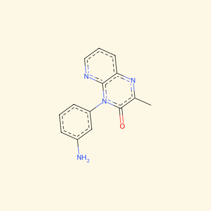 Cc1nc2cccnc2n(-c2cccc(N)c2)c1=O